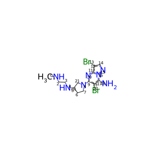 CNCCN[C@H]1CCN(c2nc3c(Br)cnn3c(N)c2Br)C1